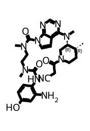 C[C@@H]1CCN(C(=O)CC#N)C[C@@H]1N(C)c1ncnc2c1ccn2C(=O)N(C)CCN(C)C(=O)Nc1ccc(O)cc1N